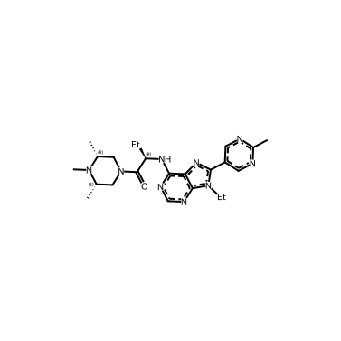 CC[C@@H](Nc1ncnc2c1nc(-c1cnc(C)nc1)n2CC)C(=O)N1C[C@@H](C)N(C)[C@@H](C)C1